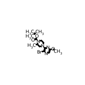 COc1cnc(Br)c(N2CCN(C(=O)OC(C)(C)C)C(C)C2)n1